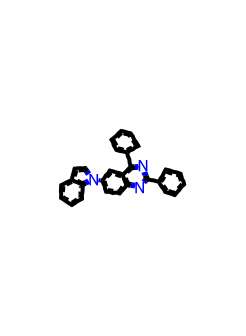 c1ccc(-c2nc(-c3ccccc3)c3cc(-n4ccc5ccccc54)ccc3n2)cc1